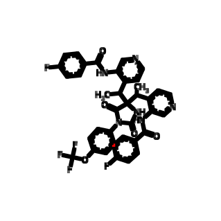 CC(c1ccncc1NC(=O)c1ccc(F)cc1)C1(C(C)c2ccncc2NC(=O)c2ccc(F)cc2)NC(=O)N(c2ccc(OC(F)(F)F)cc2)C1=O